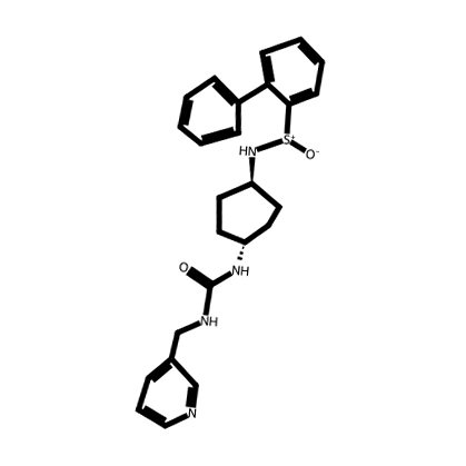 O=C(NCc1cccnc1)N[C@H]1CC[C@H](N[S+]([O-])c2ccccc2-c2ccccc2)CC1